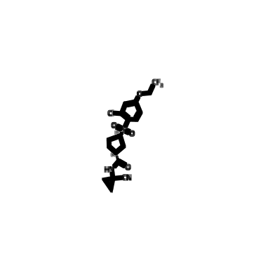 N#CC1(NC(=O)[C@@H]2CC[C@@H](S(=O)(=O)c3ccc(OCC(F)(F)F)cc3Cl)C2)CC1